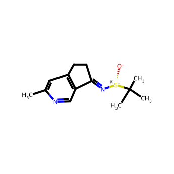 Cc1cc2c(cn1)C(=N[S@+]([O-])C(C)(C)C)CC2